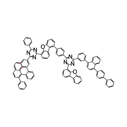 c1ccc(-c2ccc(-c3ccc(-c4cccc(-c5nc(-c6ccc(-c7cccc8oc9c(-c%10nc(-c%11ccccc%11)nc(-c%11cccc(-c%12ccccc%12-c%12c(-c%13ccccc%13)ccc%13ccccc%12%13)c%11)n%10)cccc9c78)cc6)nc(-c6cccc7c6oc6ccccc67)n5)c4)c4ccccc34)cc2)cc1